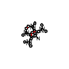 N#Cc1cc(-n2c3ccc(-c4nc(-c5ccccc5)nc(-c5ccccc5)n4)cc3c3cc(-c4nc(-c5ccccc5)nc(-c5ccccc5)n4)ccc32)c(-c2c(F)cccc2F)c(-n2c3ccc(-c4nc(-c5ccccc5)nc(-c5ccccc5)n4)cc3c3cc(-c4nc(-c5ccccc5)nc(-c5ccccc5)n4)ccc32)c1